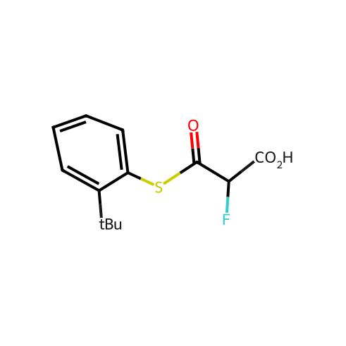 CC(C)(C)c1ccccc1SC(=O)C(F)C(=O)O